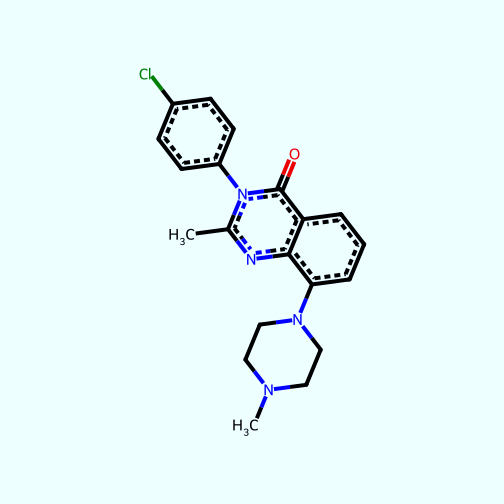 Cc1nc2c(N3CCN(C)CC3)cccc2c(=O)n1-c1ccc(Cl)cc1